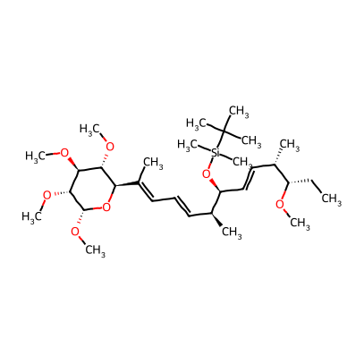 CC[C@H](OC)[C@@H](C)/C=C/[C@H](O[Si](C)(C)C(C)(C)C)[C@@H](C)/C=C/C=C(\C)[C@H]1O[C@H](OC)[C@H](OC)[C@@H](OC)[C@@H]1OC